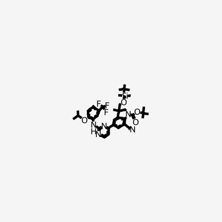 CC(C)Oc1ccc(C(F)(F)F)cc1Nc1nccc(-c2cc(C#N)c3c(c2)C(C)(CO[Si](C)(C)C(C)(C)C)CN3C(=O)OC(C)(C)C)n1